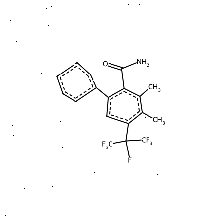 Cc1c(C(F)(C(F)(F)F)C(F)(F)F)cc(-c2ccccc2)c(C(N)=O)c1C